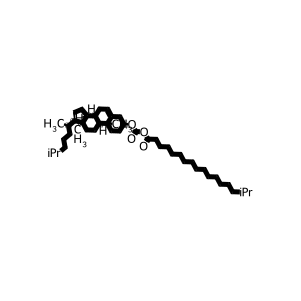 CC(C)CCCCCCCCCCCCCCC(=O)OC(=O)O[C@H]1CC[C@@]2(C)C(=CC[C@H]3[C@@H]4CC[C@H]([C@H](C)CCCC(C)C)[C@@]4(C)CC[C@@H]32)C1